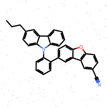 CCCc1ccc2c(c1)c1ccccc1n2-c1ccccc1-c1ccc2oc3ccc(C#N)cc3c2c1